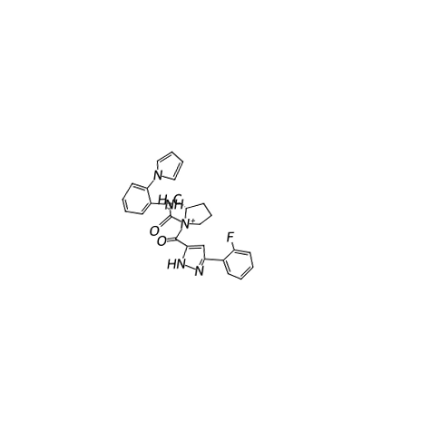 C[C@@H]1CCC[N+]1(C(=O)Nc1ccccc1-n1cccc1)C(=O)c1cc(-c2ccccc2F)n[nH]1